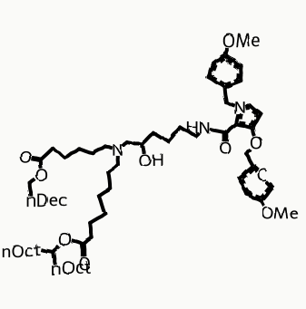 CCCCCCCCCCCOC(=O)CCCCCN(CCCCCCCC(=O)OC(CCCCCCCC)CCCCCCCC)CC(O)CCCCNC(=O)c1c(OCc2ccc(OC)cc2)ccn1Cc1ccc(OC)cc1